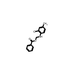 Cc1ccc(NCOC(=O)c2ccccc2)c(Cl)c1